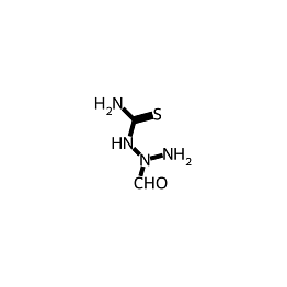 NC(=S)NN(N)C=O